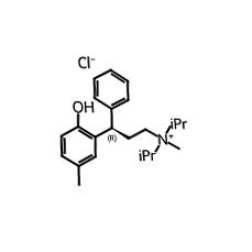 Cc1ccc(O)c([C@H](CC[N+](C)(C(C)C)C(C)C)c2ccccc2)c1.[Cl-]